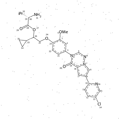 COc1cc(-n2cnn3cc(-c4ccc(Cl)cn4)cc3c2=O)ccc1OCC(OC(=O)[C@@H](N)C(C)C)C1CC1